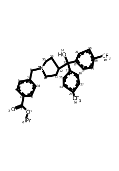 CC(C)OC(=O)c1ccc(CN2CCC(C(O)(c3ccc(C(F)(F)F)cc3)c3ccc(C(F)(F)F)cc3)CC2)cc1